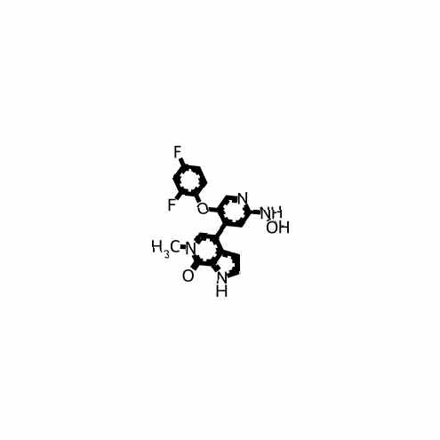 Cn1cc(-c2cc(NO)ncc2Oc2ccc(F)cc2F)c2cc[nH]c2c1=O